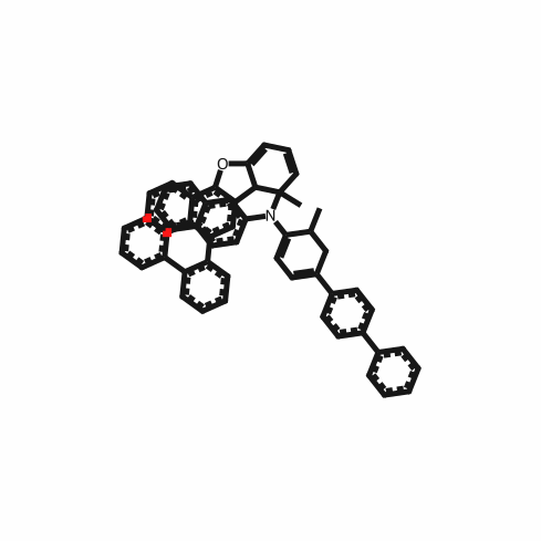 CC1CC(c2ccc(-c3ccccc3)cc2)=CC=C1N(c1ccc2ccccc2c1)C1(C)C=CC=C2Oc3c(cc(-c4ccccc4-c4ccccc4)c4ccccc34)C21